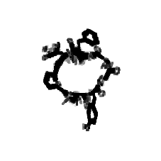 NC(=O)[C@@H]1Cc2cccc(n2)C2=N[C@@H](CS2)C(=O)N[C@H](Cc2ccc(O)cc2)C(=O)NCC(=O)NCC(=O)N[C@H](Cc2ccccc2)C(=O)N1